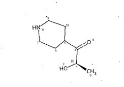 C[C@@H](O)C(=O)C1CCNCC1